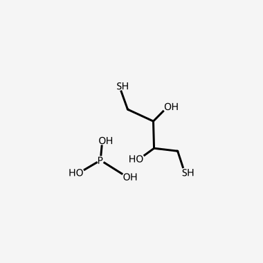 OC(CS)C(O)CS.OP(O)O